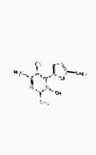 CSc1ccc(C2=C(C#N)C(C)=NC(N)N2S)o1